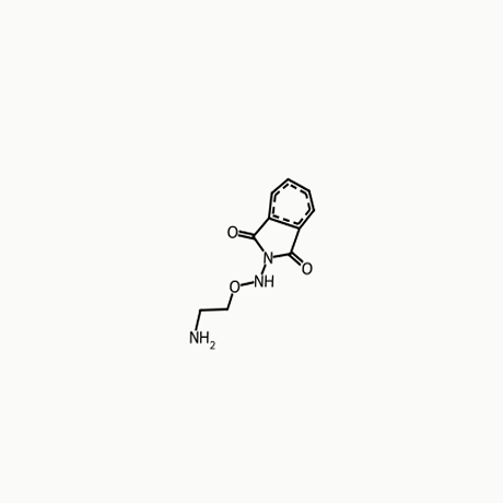 NCCONN1C(=O)c2ccccc2C1=O